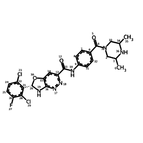 CC1CN(C(=O)c2ccc(NC(=O)c3cc4c(nn3)N[C@H](c3c(Cl)ccc(F)c3Cl)O4)cc2)CC(C)N1